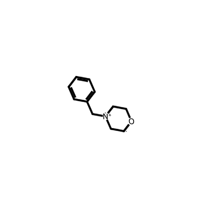 [CH]1C[N+](Cc2ccccc2)CCO1